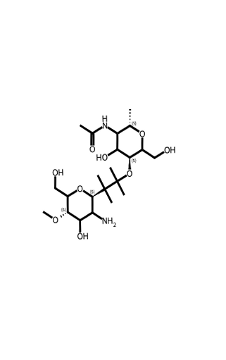 CO[C@@H]1C(CO)O[C@@H](C(C)(C)C(C)(C)O[C@@H]2C(CO)O[C@@H](C)C(NC(C)=O)C2O)C(N)C1O